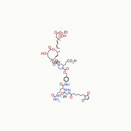 CC[C@H](O)[C@@H](C)[C@H]1O[C@@H]1CC(C)(O)/C=C/C=C(\C)[C@H]1OC(=O)C[C@H](O)CC[C@@](C)(OC)[C@@H](OC(=O)N2CCN(C(=O)OCc3ccc(NC(=O)[C@H](CCCNC(N)=O)NC(=O)[C@@H](NC(=O)CCCCCN4C(=O)C=CC4=O)C(C)C)cc3)C(CCC(=O)O)C2)/C=C/[C@@H]1C